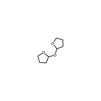 C1CO[C](O[C]2CCCO2)C1